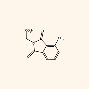 Cc1cccc2c1C(=O)N(CC(=O)O)C2=O